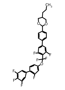 CCCC1COC(c2ccc(-c3cc(F)c(C(F)(F)Oc4ccc(-c5cc(F)c(F)c(F)c5)c(F)c4)c(F)c3)cc2)OC1